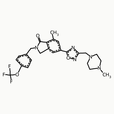 Cc1cc(-c2nc(CN3CCN(C)CC3)no2)cc2c1C(=O)N(Cc1ccc(OC(F)(F)F)cc1)C2